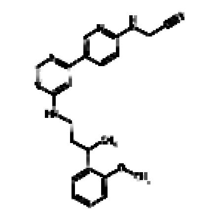 COc1ccccc1C(C)CCNc1cc(-c2ccc(NCC#N)nc2)ncn1